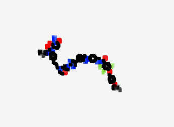 COc1ccc(COc2c(F)cc(C(=O)NC[C@H]3CC[C@H](n4cc5ccc(-c6cnc(N7CC8(CN(CCCc9ccc%10c(c9)n(C)c(=O)n%10C9CCC(=O)NC9=O)CCO8)C7)nc6)cc5n4)CC3)c(F)c2F)cc1